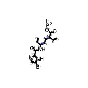 C=C/C(=C\C=C(/C=C)C(=O)OP)NC(=O)c1ncc(Br)[nH]1